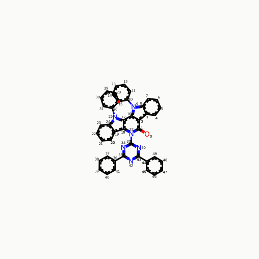 O=c1c2c3ccccc3n(-c3ccccc3)c2c2c(c3ccccc3n2-c2ccccc2)n1-c1nc(-c2ccccc2)nc(-c2ccccc2)n1